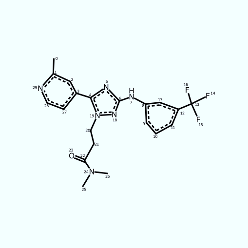 Cc1cc(-c2nc(Nc3cccc(C(F)(F)F)c3)nn2CCC(=O)N(C)C)ccn1